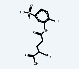 NC(CCC(=O)Nc1cc(S(=O)(=O)O)ccc1O)C(=O)O